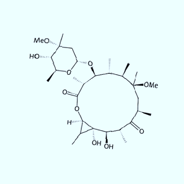 CO[C@]1(C)C[C@H](O[C@H]2[C@H](C)[C@@H](C)[C@@](C)(OC)C[C@@H](C)C(=O)[C@H](C)[C@@H](O)[C@@]3(O)C(C)[C@H]3OC(=O)[C@@H]2C)O[C@@H](C)[C@@H]1O